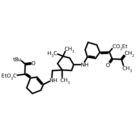 C=C(C)C(=O)/C(C(=O)OCC)=C1\C=C(NC2CC(C)(C)CC(C)(CNC3=C/C(=C(/C(=O)OCC)C(=O)C(C)(C)C)CCC3)C2)CCC1